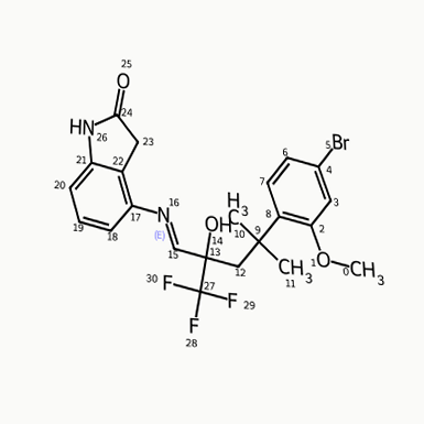 COc1cc(Br)ccc1C(C)(C)CC(O)(/C=N/c1cccc2c1CC(=O)N2)C(F)(F)F